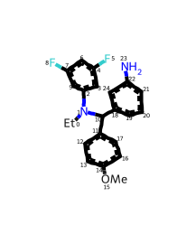 CCN(c1cc(F)cc(F)c1)C(c1ccc(OC)cc1)c1cccc(N)c1